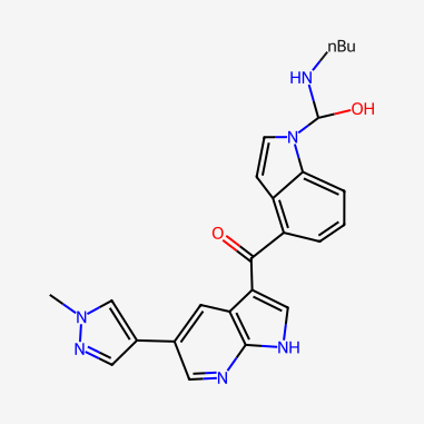 CCCCNC(O)n1ccc2c(C(=O)c3c[nH]c4ncc(-c5cnn(C)c5)cc34)cccc21